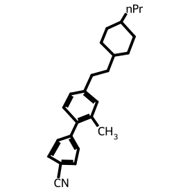 CCCC1CCC(CCc2ccc(-c3ccc(C#N)cc3)c(C)c2)CC1